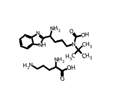 CC(C)(C)N(CCCC(N)c1nc2ccccc2[nH]1)C(=O)O.NCCCC(N)C(=O)O